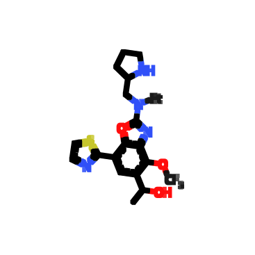 CCN(CC1CCCN1)c1nc2c(OC(F)(F)F)c(C(C)O)cc(-c3nccs3)c2o1